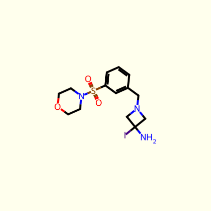 NC1(I)CN(Cc2cccc(S(=O)(=O)N3CCOCC3)c2)C1